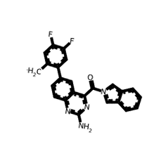 [CH2]c1cc(F)c(F)cc1-c1ccc2nc(N)nc(C(=O)n3cc4ccccc4c3)c2c1